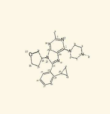 Cc1nc(N2CCN(C)CC2)c2nc(-c3ccccc3C3CC3)n(C3CCOC3)c2n1